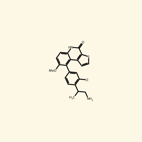 COc1ccc2[nH]c(=O)c3sccc3c2c1-c1ccc(C(C)CN)c(Cl)c1